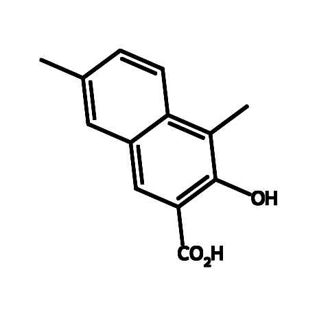 Cc1ccc2c(C)c(O)c(C(=O)O)cc2c1